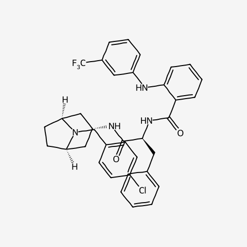 O=C(N[C@@H](Cc1ccccc1)C(=O)N[C@@H]1C[C@H]2CC[C@@H](C1)N2Cc1ccc(Cl)cc1)c1ccccc1Nc1cccc(C(F)(F)F)c1